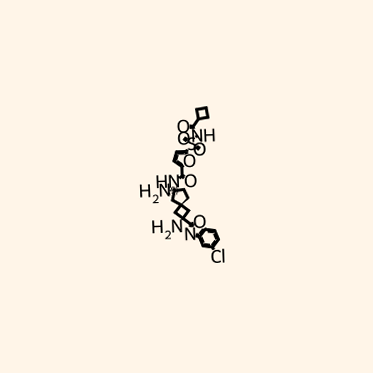 N[C@]1(NC(=O)c2ccc(S(=O)(=O)NC(=O)C3CCC3)o2)CC[C@]2(C1)C[C@](N)(c1nc3cc(Cl)ccc3o1)C2